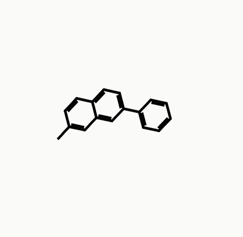 Cc1ccc2ccc(-c3ccccc3)cc2c1